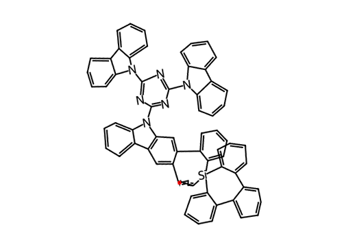 c1ccc2c(c1)-c1ccccc1[Si]1(c3ccccc3-2)c2ccccc2-c2cc3c4ccccc4n(-c4nc(-n5c6ccccc6c6ccccc65)nc(-n5c6ccccc6c6ccccc65)n4)c3cc2-c2ccccc21